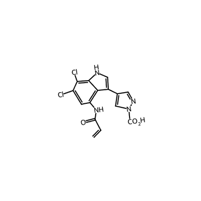 C=CC(=O)Nc1cc(Cl)c(Cl)c2[nH]cc(-c3cnn(C(=O)O)c3)c12